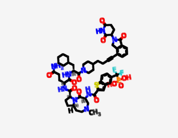 CN1CC[C@H]2CC[C@@H](C(=O)N[C@@H](CCC(N)=O)C(=O)N[C@@H](CC3CCCCC3)C(=O)N3CCC(CCC#Cc4cccc5c4CN(C4CCC(=O)NC4=O)C5=O)CC3)N2C(=O)[C@@H](NC(=O)c2cc3cc(C(F)(F)P(=O)(O)O)ccc3s2)C1